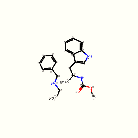 CCOC(=O)[C@@H](Cc1c[nH]c2ccccc12)NC(=O)OC(C)(C)C.O=C(O)CNCc1ccccc1